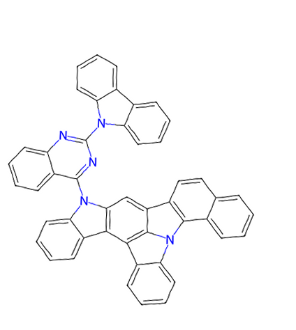 c1ccc2c(c1)ccc1c3cc4c(c5ccccc5n4-c4nc(-n5c6ccccc6c6ccccc65)nc5ccccc45)c4c5ccccc5n(c21)c34